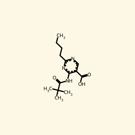 CCCCc1ncc(C(=O)O)c(NC(=O)C(C)(C)C)n1